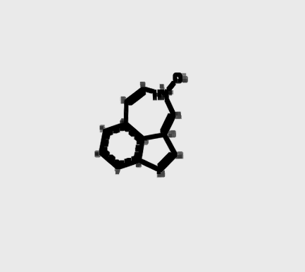 [O-][NH+]1C=Cc2cccc3c2C(=C1)C=C3